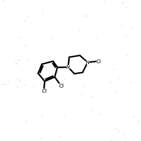 Clc1cccc(N2CCN(Cl)CC2)c1Cl